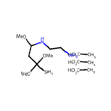 CC(=O)O.CC(=O)O.CC(=O)O.COC(CC([SiH3])(OC)OC)NCCN